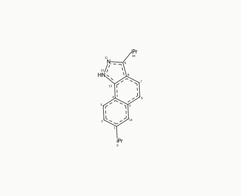 CC(C)c1ccc2c(ccc3c(C(C)C)n[nH]c32)c1